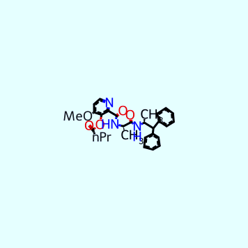 CCCC(=O)Oc1c(OC)ccnc1C(=O)N[C@@H](C)C(=O)N[C@@H](C)C(c1ccccc1)c1ccccc1